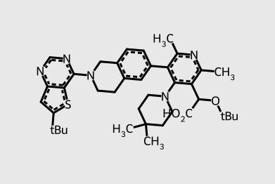 Cc1nc(C)c(C(OC(C)(C)C)C(=O)O)c(N2CCC(C)(C)CC2)c1-c1ccc2c(c1)CCN(c1ncnc3cc(C(C)(C)C)sc13)C2